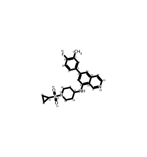 Cc1cc(-c2cc(NC3CCN(S(=O)(=O)C4CC4)CC3)c3cnccc3c2)ccc1F